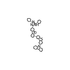 c1ccc(C2=NC(c3ccc4c(c3)oc3c(-c5ccc6sc7ccc(-n8c9ccccc9c9ccccc98)cc7c6c5)cccc34)NC(c3ccccc3)=N2)cc1